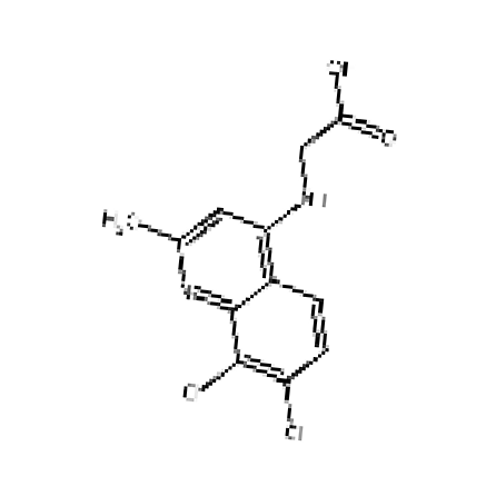 Cc1cc(NCC(=O)O)c2ccc(Cl)c(Cl)c2n1